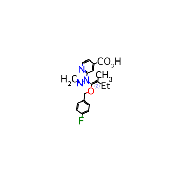 C=NN(/C(OCc1ccc(F)cc1)=C(\C)CC)c1cc(C(=O)O)ccn1